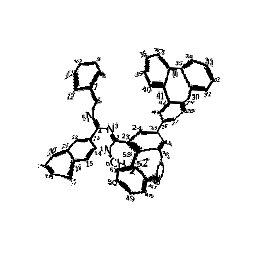 C=N/C(=N\C(=N/Cc1ccccc1)c1ccc2ccccc2c1)c1cc(-c2ccc3c4ccccc4c4ccccc4c3c2)cc2oc3ccccc3c12